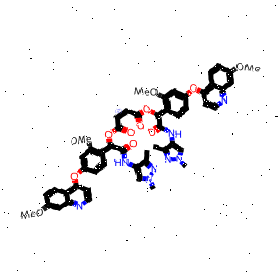 COc1ccc2c(Oc3ccc(C(OC(=O)/C=C\C(=O)OC(C(=O)Nc4cn(C)nc4C)c4ccc(Oc5ccnc6cc(OC)ccc56)cc4OC)C(=O)Nc4cn(C)nc4C)c(OC)c3)ccnc2c1